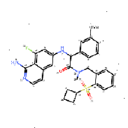 COc1cccc(C(Nc2cc(F)c3c(N)nccc3c2)C(=O)N(C)Cc2ccccc2S(=O)(=O)C2CCC2)c1